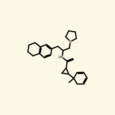 C=C(NC(Cc1ccc2c(c1)CCCC2)CN1CCCC1)C1CC1C1(C)C=CC=CC1